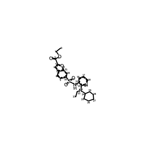 CCOC(=O)c1cc2ccc(S(=O)(=O)Nc3cccnc3N(CC)C3CCCCC3)cc2o1